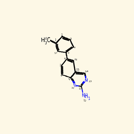 Cc1cccc(-c2ccc3nc(N)ncc3c2)c1